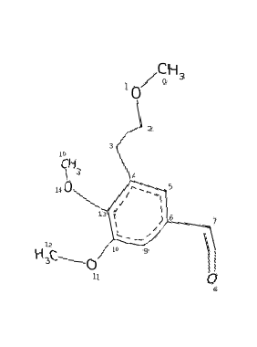 COCCc1cc(C=O)cc(OC)c1OC